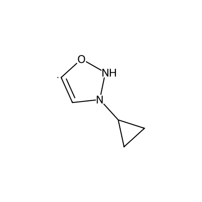 [C]1=CN(C2CC2)NO1